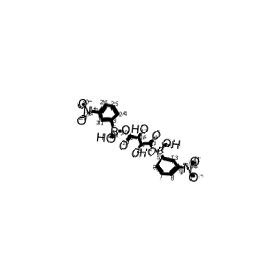 O=C(OB(O)c1cccc([N+](=O)[O-])c1)C(O)C(O)C(=O)OB(O)c1cccc([N+](=O)[O-])c1